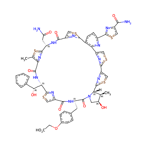 Cc1sc2nc1C(=O)N[C@@H]([C@H](O)c1ccccc1)c1nc(cs1)C(=O)N[C@@H](Cc1ccc(OCC(=O)O)cc1)C(=O)N1C[C@H](O)[C@H](C)[C@H]1c1nc(cs1)-c1nc(cs1)-c1nc(-c3nc(C(N)=O)cs3)ccc1-c1nc(cs1)C(=O)N[C@H]2CC(N)=O